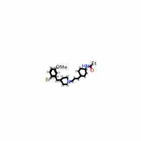 CCC(=O)NC1CCC(CCCN2CCC(Cc3cc(OC)ccc3Br)CC2)CC1